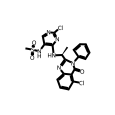 C[C@H](Nc1nc(Cl)ncc1NS(C)(=O)=O)c1nc2cccc(Cl)c2c(=O)n1-c1ccccc1